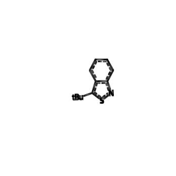 CC(C)(C)c1snc2ccccc12